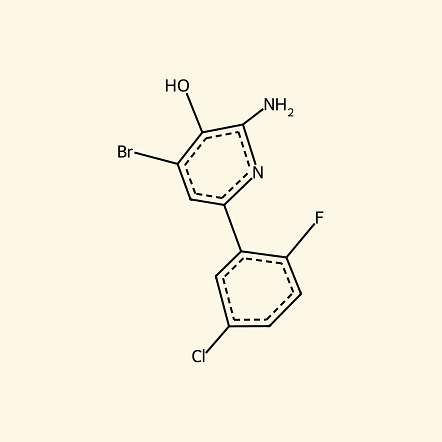 Nc1nc(-c2cc(Cl)ccc2F)cc(Br)c1O